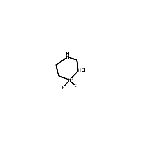 Cl.F[N+]1(F)CCNCC1